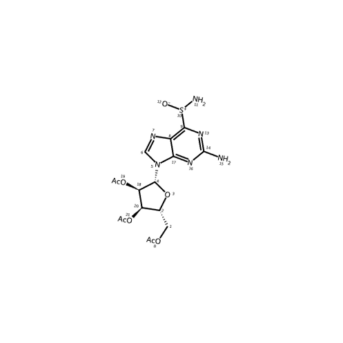 CC(=O)OC[C@H]1O[C@@H](n2cnc3c([S+](N)[O-])nc(N)nc32)[C@H](OC(C)=O)[C@@H]1OC(C)=O